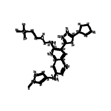 Cn1cc(Nc2cnc3cc(-c4nnc(C5CCCC5)s4)c(NCOCC[Si](C)(C)C)nc3c2)cn1